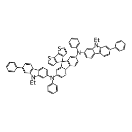 CCn1c2cc(-c3ccccc3)ccc2c2ccc(N(c3ccccc3)c3ccc4c(c3)C3(c5cc(N(c6ccccc6)c6ccc7c8ccc(-c9ccccc9)cc8n(CC)c7c6)ccc5-4)c4ccsc4-c4sccc43)cc21